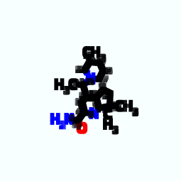 CC(c1cc(C(N)=O)nc2c1CCC2(C)C)N1CCC[C@H](C)C1